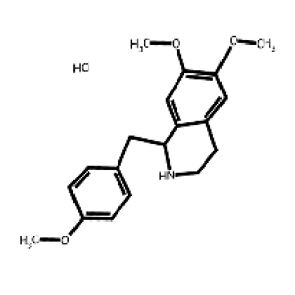 COc1ccc(CC2NCCc3cc(OC)c(OC)cc32)cc1.Cl